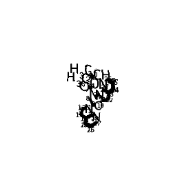 CC(C)(C)OC(=O)N(CC(=O)N1CCc2cccnc21)N1CCc2cccnc21